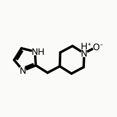 [O-][NH+]1CCC(Cc2ncc[nH]2)CC1